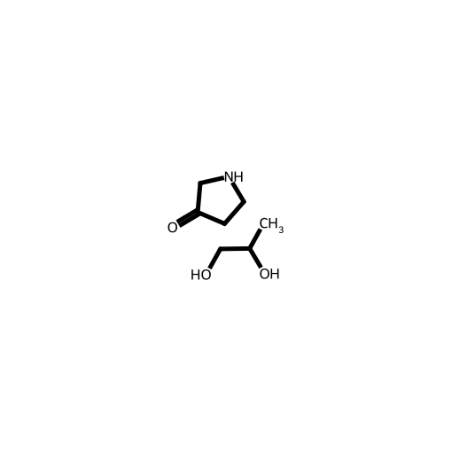 CC(O)CO.O=C1CCNC1